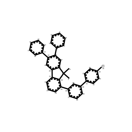 CC1(C)c2cc(-c3ccccc3)c(-c3ccccc3)cc2-c2cccc(-c3cccc(-c4ccc(Cl)cc4)c3)c21